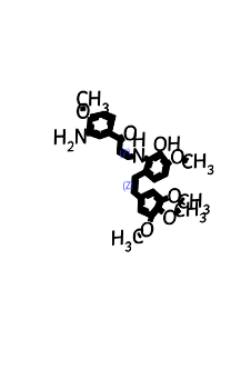 COc1ccc(C(=O)/C=C\Nc2c(/C=C\c3cc(OC)c(OC)c(OC)c3)ccc(OC)c2O)cc1N